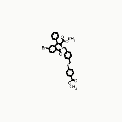 COC(=O)c1ccc(SCc2ccc(Cn3c(C(=O)OC)c(-c4ccccc4)c4cc(Br)ccc4c3=O)cc2)cc1